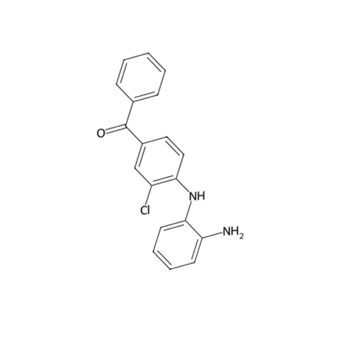 Nc1ccccc1Nc1ccc(C(=O)c2ccccc2)cc1Cl